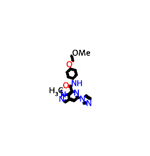 COCCO[C@H]1CC[C@H](NC(=O)c2nc(-n3ccnc3)cc3cnn(C)c23)CC1